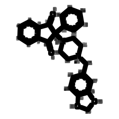 O=C1c2ccccc2C(=O)C1(c1ccccc1)N1CCN(Cc2ccc3c(c2)OCO3)CC1